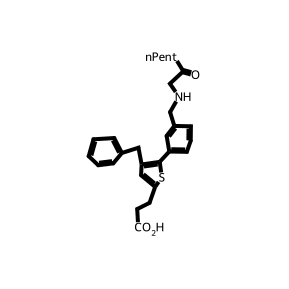 CCCCCC(=O)CNCc1cccc(-c2sc(CCC(=O)O)cc2Cc2ccccc2)c1